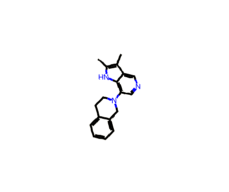 Cc1[nH]c2c(N3CCc4ccccc4C3)cncc2c1C